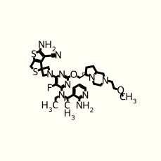 CCN(c1nc(OC[C@H]2CCC3CN(CCOC)CCN32)nc(N2CC3(C2)SCc2sc(N)c(C#N)c23)c1F)[C@H](C)c1cccnc1N